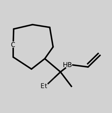 C=CBC(C)(CC)C1CCCCCCC1